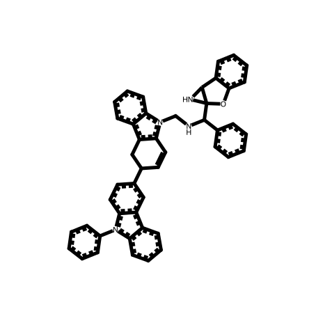 C1=CC(c2ccc3c(c2)c2ccccc2n3-c2ccccc2)Cc2c1n(CNC(c1ccccc1)C13NC1c1ccccc1O3)c1ccccc21